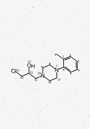 Cc1ccccc1N1CCN(CC(O)CCl)CC1